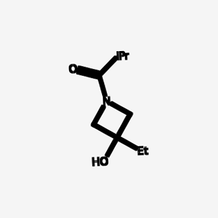 CCC1(O)CN(C(=O)C(C)C)C1